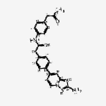 CC(=O)Cc1ccc(NC(=O)Cc2ccc(-c3ccn4nc(N)nc4c3)cc2)cc1